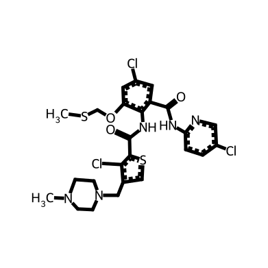 CSCOc1cc(Cl)cc(C(=O)Nc2ccc(Cl)cn2)c1NC(=O)c1scc(CN2CCN(C)CC2)c1Cl